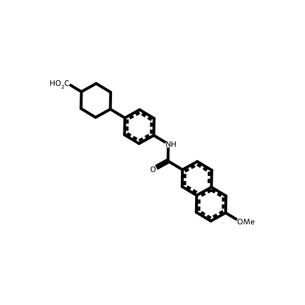 COc1ccc2cc(C(=O)Nc3ccc(C4CCC(C(=O)O)CC4)cc3)ccc2c1